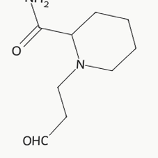 NC(=O)C1CCCCN1CCC=O